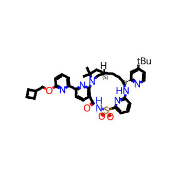 CC(C)(C)c1ccnc([C@H]2CC[C@@H]3CN(c4nc(-c5cccc(OCC6CCC6)n5)ccc4C(=O)NS(=O)(=O)c4cccc(n4)N2)C(C)(C)C3)c1